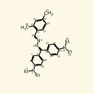 CCN(CC)c1ccc(C(=N/N=C/c2ccc(C)cc2C)c2ccc(N(CC)CC)cc2)cc1